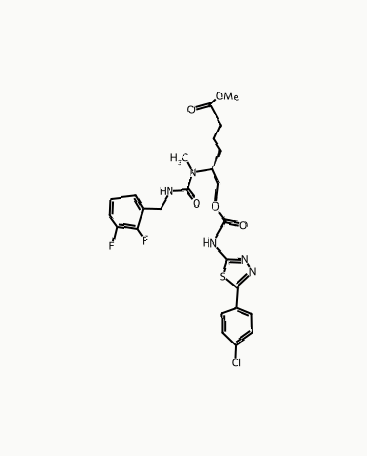 COC(=O)CCC[C@@H](COC(=O)Nc1nnc(-c2ccc(Cl)cc2)s1)N(C)C(=O)NCc1cccc(F)c1F